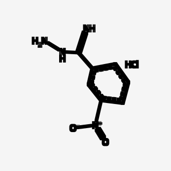 Cl.N=C(NN)c1cccc([N+](=O)[O-])c1